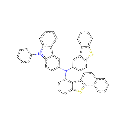 c1ccc(-n2c3ccccc3c3cc(N(c4ccc5sc6ccccc6c5c4)c4cccc5sc6c7ccccc7ccc6c45)ccc32)cc1